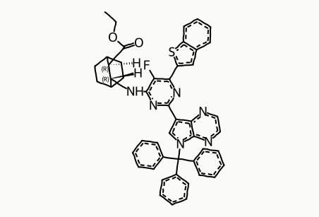 CCOC(=O)[C@@H]1C2CCC(CC2)[C@H]1Nc1nc(-c2cn(C(c3ccccc3)(c3ccccc3)c3ccccc3)c3nccnc23)nc(-c2cc3ccccc3s2)c1F